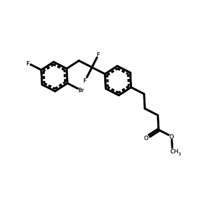 COC(=O)CCCc1ccc(C(F)(F)Cc2cc(F)ccc2Br)cc1